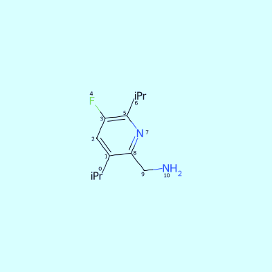 CC(C)c1cc(F)c(C(C)C)nc1CN